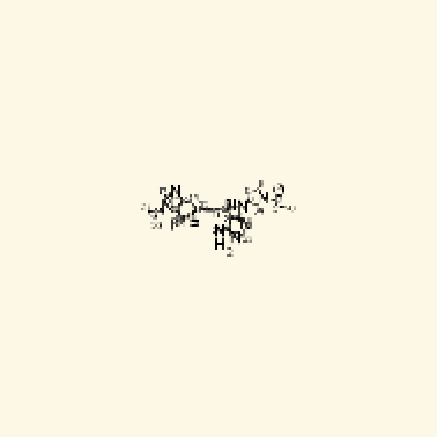 C=CC(=O)N1CCC(n2nc(C#Cc3cc4ncn(C5CC5)c4c(F)c3F)c3c(N)ncnc32)C1